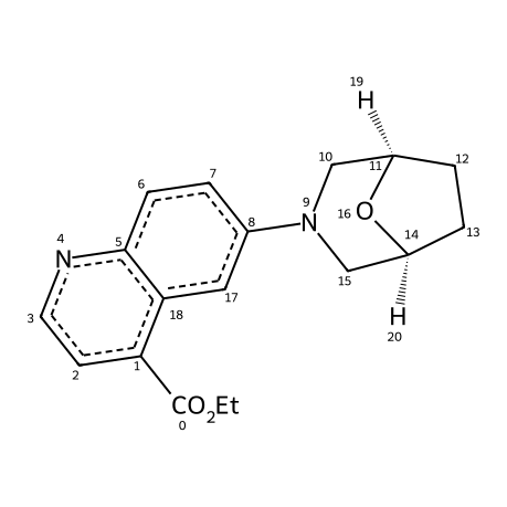 CCOC(=O)c1ccnc2ccc(N3C[C@H]4CC[C@@H](C3)O4)cc12